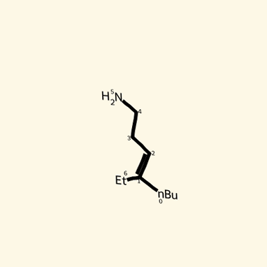 CCCC/C(=C/CCN)CC